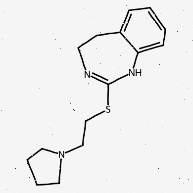 c1ccc2c(c1)CCN=C(SCCN1CCCC1)N2